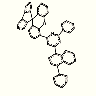 c1ccc(-c2nc(-c3cccc4c3Oc3ccccc3C43c4ccccc4-c4ccccc43)cc(-c3ccc(-c4ccccc4)c4ccccc34)n2)cc1